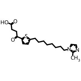 Cc1nccn1CCCCCCCCc1ccc(C(=O)CCC(=O)O)s1